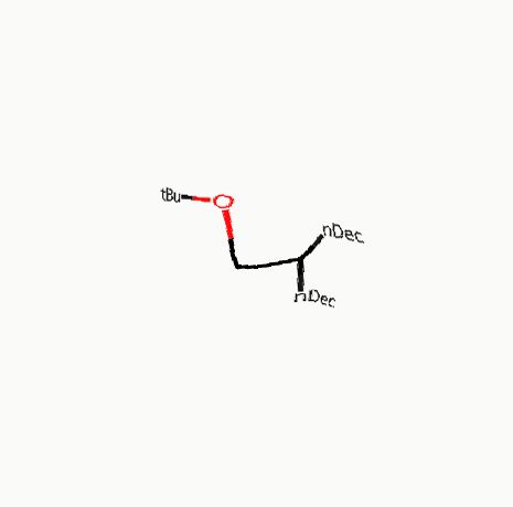 CCCCCCCCCCC(CCCCCCCCCC)COC(C)(C)C